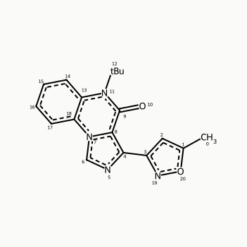 Cc1cc(-c2ncn3c2c(=O)n(C(C)(C)C)c2ccccc23)no1